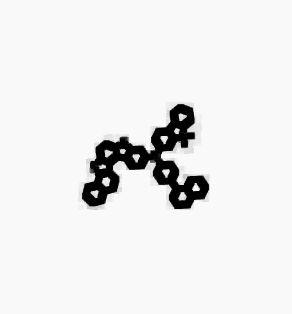 CS1(C)c2ccccc2-c2ccc(N(c3ccc(-c4cccc5ccccc45)cc3)c3ccc4c(c3)sc3ccc5sc6c7ccccc7ccc6c5c34)cc21